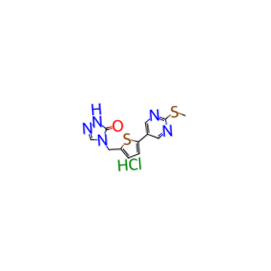 CSc1ncc(-c2ccc(Cn3cn[nH]c3=O)s2)cn1.Cl